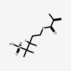 C=C(C)C(=O)OCCC(F)(F)C(C)(F)S(=O)(=O)O